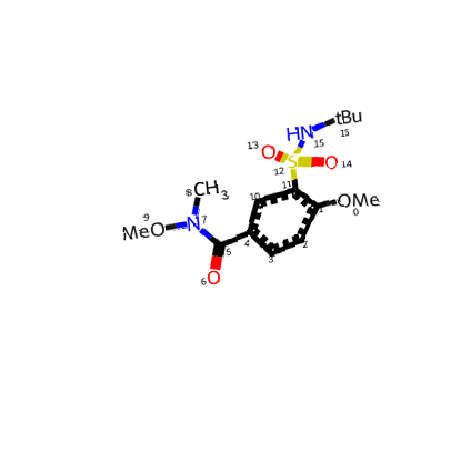 COc1ccc(C(=O)N(C)OC)cc1S(=O)(=O)NC(C)(C)C